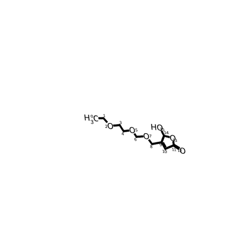 CCOCCOCOCC1=CC(=O)OC1O